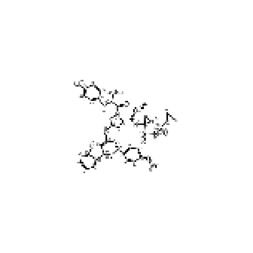 C=C[C@@H]1C[C@]1(NC(=O)[C@@H]1C[C@@H](Oc2nc(-c3ccc(OC(C)C)cc3)nc3c2oc2ccccc23)CN1C(=O)[C@@H](Nc1ccc(Cl)cc1)C(C)(C)C)C(=O)NS(=O)(=O)C1CC1